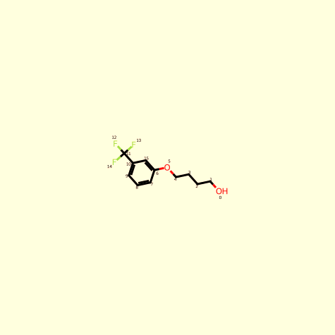 OCCCCOc1cccc(C(F)(F)F)c1